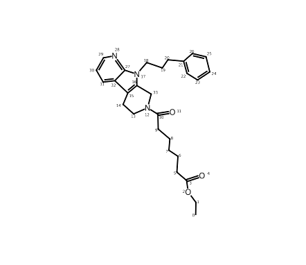 CCOC(=O)CCCCCC(=O)N1CCc2c(n(CCCc3ccccc3)c3ncccc23)C1